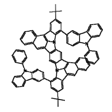 CC(C)(C)c1cc(-c2ccc3c(c2)c2ccccc2n3-c2ccccc2)c2c(c1)c1cc3ccccc3c3c4cc5c(cc4n2c13)c1cc2ccccc2c2c3cc(C(C)(C)C)cc(-c4ccc6c(c4)c4ccccc4n6-c4ccccc4)c3n5c12